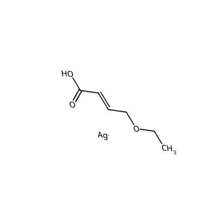 CCOC/C=C/C(=O)O.[Ag]